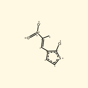 CC(=Cc1ccsc1Cl)[N+](=O)[O-]